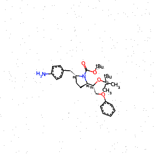 CC(C)(C)OC(=O)N1[C@@H](Cc2ccc(N)cc2)CC[C@@H]1[C@@H](COc1ccccc1)O[Si](C)(C)C(C)(C)C